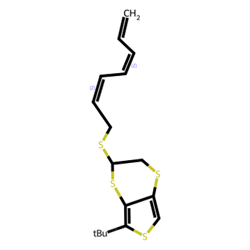 C=C/C=C\C=C/CSC1CSc2csc(C(C)(C)C)c2S1